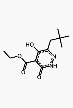 CCOC(=O)c1c(O)c(CC(C)(C)C)n[nH]c1=O